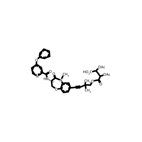 CC(=O)OC(C(=O)O)C(OC(C)=O)C(=O)OCC(C)(C)C#Cc1ccc2c(c1)N(C)C(=O)[C@@H](NC(=O)c1cc(Oc3ccccc3)ccn1)CO2